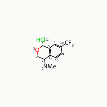 CNC1COCc2cc(C(F)(F)F)ccc21.Cl